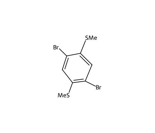 CSc1cc(Br)c(SC)cc1Br